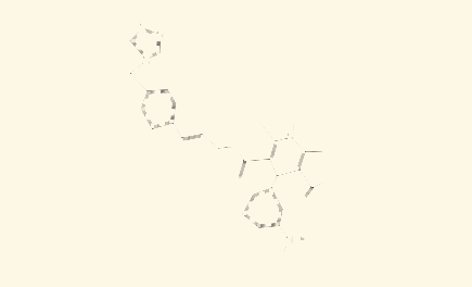 CC1=C(C(=O)O)C(c2cccc([N+](=O)[O-])c2)C(C(=O)OCC=Cc2ccc(Cn3cnnc3)cc2)=C(C)N1